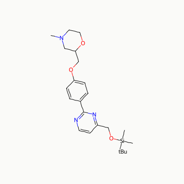 CN1CCOC(COc2ccc(-c3nccc(CO[Si](C)(C)C(C)(C)C)n3)cc2)C1